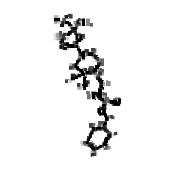 CC(C)(C)OC(=O)N1CC[C@@H](CNC(=O)OCc2ccccc2)C(F)(F)C1